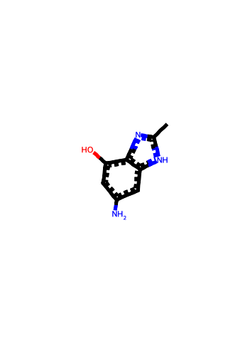 Cc1nc2c(O)cc(N)cc2[nH]1